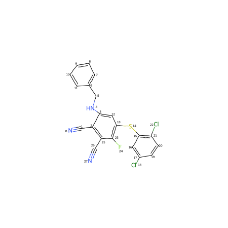 N#Cc1c(NCc2ccccc2)cc(Sc2cc(Cl)ccc2Cl)c(F)c1C#N